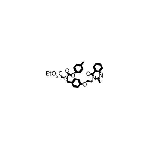 CCOC(=O)CN(Cc1ccc(OCCn2c(C)nc3ccccc3c2=O)cc1)C(=O)Oc1ccc(C)cc1